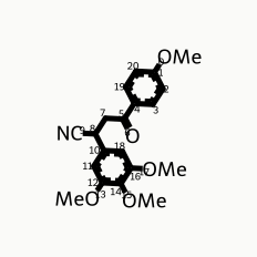 COc1ccc(C(=O)CC(C#N)c2cc(OC)c(OC)c(OC)c2)cc1